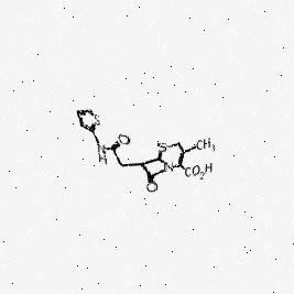 CC1=C(C(=O)O)N2C(=O)C(CC(=O)Nc3cccs3)C2SC1